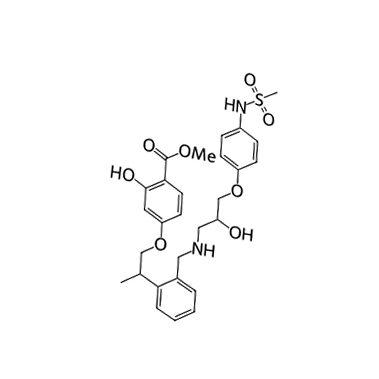 COC(=O)c1ccc(OCC(C)c2ccccc2CNCC(O)COc2ccc(NS(C)(=O)=O)cc2)cc1O